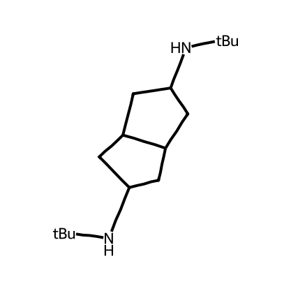 CC(C)(C)NC1CC2CC(NC(C)(C)C)CC2C1